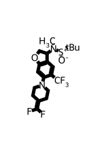 CN(C1COc2cc(N3CCC(=C(F)F)CC3)c(C(F)(F)F)cc21)[S+]([O-])C(C)(C)C